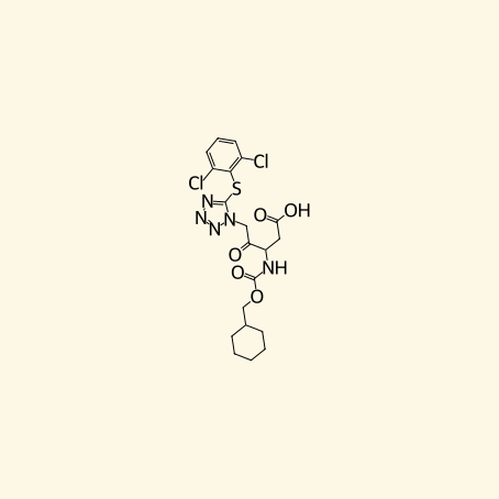 O=C(O)CC(NC(=O)OCC1CCCCC1)C(=O)Cn1nnnc1Sc1c(Cl)cccc1Cl